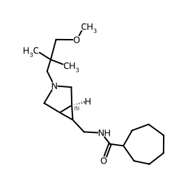 COCC(C)(C)CN1CC2C(CNC(=O)C3CCCCCC3)[C@@H]2C1